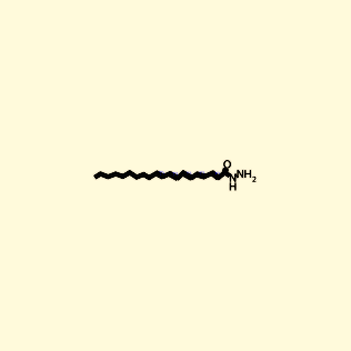 CCCCCCCCC/C=C/C=C/C=C/C=C/C=C/C(=O)NN